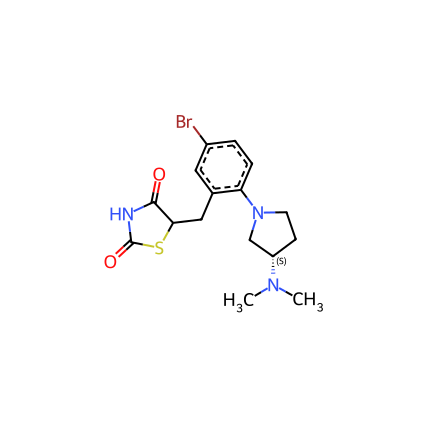 CN(C)[C@H]1CCN(c2ccc(Br)cc2CC2SC(=O)NC2=O)C1